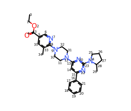 CCOC(=O)c1cnc(N2CCN(c3cc(-c4ccccc4)nc(N4CCCC4C)n3)CC2)c(C)c1